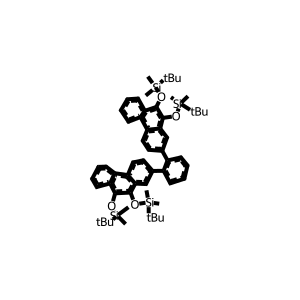 CC(C)(C)[Si](C)(C)Oc1c(O[Si](C)(C)C(C)(C)C)c2cc(-c3ccccc3-c3ccc4c(c3)c(O[Si](C)(C)C(C)(C)C)c(O[Si](C)(C)C(C)(C)C)c3ccccc34)ccc2c2ccccc12